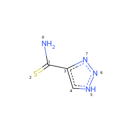 NC(=S)c1c[nH]nn1